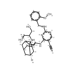 COc1ccccc1CNc1ncc(C#N)c(NC[C@]23CC4C[C@H](C2)[C@@H](NC(CO)CO)[C@@H](C4)C3)n1